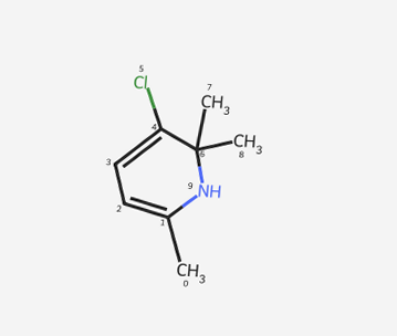 CC1=CC=C(Cl)C(C)(C)N1